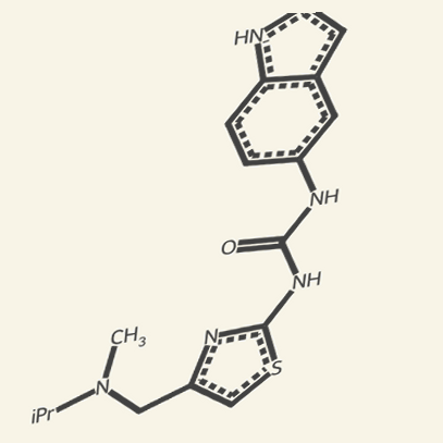 CC(C)N(C)Cc1csc(NC(=O)Nc2ccc3[nH]ccc3c2)n1